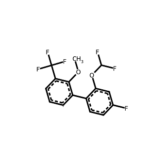 COc1c(-c2ccc(F)cc2OC(F)F)[c]ccc1C(F)(F)F